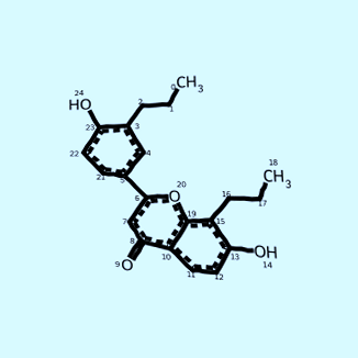 CCCc1cc(-c2cc(=O)c3ccc(O)c(CCC)c3o2)ccc1O